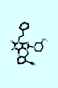 Cn1c(=O)c2c(nc(N3CCCC(N)C3)n2Cc2ccccc2C#N)n(CCc2ccccc2)c1=O